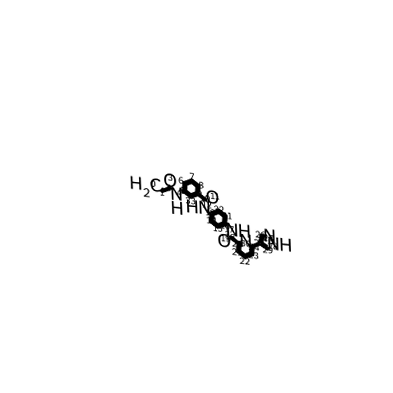 C=CC(=O)Nc1cccc(C(=O)Nc2ccc(NC(=O)c3cccc(-c4cn[nH]c4)n3)cc2)c1